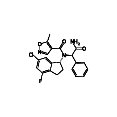 Cc1oncc1C(=O)N([C@@H]1CCc2c(F)cc(Cl)cc21)[C@@H](C(N)=O)c1ccccc1